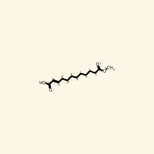 COC(=O)CCCCCCCCC=CC(=O)O